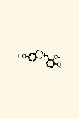 COc1cccc(CN2CCc3cc(O)ccc3C2)c1OC